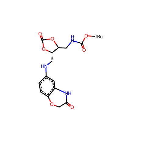 CC(C)(C)OC(=O)NCC1OC(=O)O[C@H]1CNc1ccc2c(c1)NC(=O)CO2